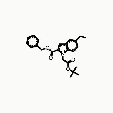 CCc1ccc2c(c1)cc(C(=O)OCc1ccccc1)n2CC(=O)OC(C)(C)C